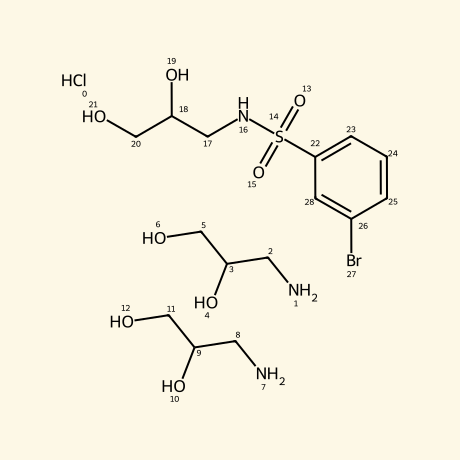 Cl.NCC(O)CO.NCC(O)CO.O=S(=O)(NCC(O)CO)c1cccc(Br)c1